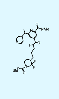 CNC(=O)c1cc(C(=O)NCCC[C@@H]2CCN(C(=O)OC(C)(C)C)CC2(F)F)cc(C(C)c2ccccc2)n1